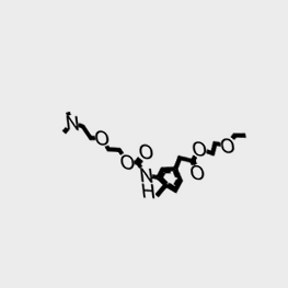 CCOCCOC(=O)Cc1ccc(C)c(NC(=O)OCCOCCN(C)C)c1